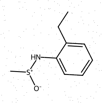 CCc1ccccc1N[S+](C)[O-]